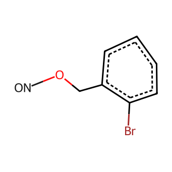 O=NOCc1ccccc1Br